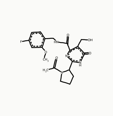 COc1cc(F)ccc1CNC(=O)c1nc(C2CCCN2C(C)=O)[nH]c(=O)c1CO